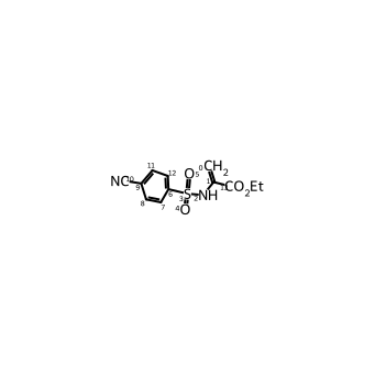 C=C(NS(=O)(=O)c1ccc(C#N)cc1)C(=O)OCC